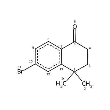 CC1(C)CCC(=O)c2ccc(Br)cc21